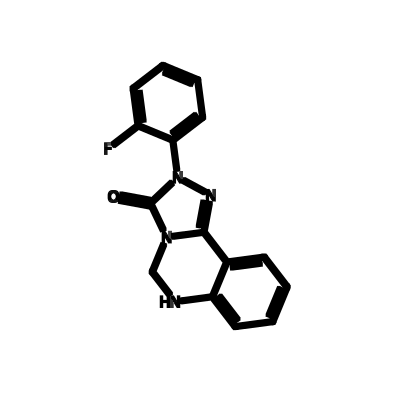 O=c1n(-c2ccccc2F)nc2n1CNc1ccccc1-2